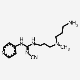 CN(CCCN)CCCNC(=NC#N)Nc1ccncc1